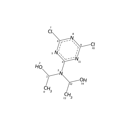 CC(O)N(c1nc(Cl)nc(Cl)n1)C(C)O